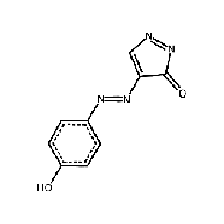 O=C1N=NC=C1N=Nc1ccc(O)cc1